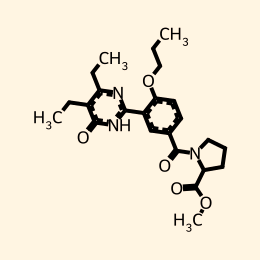 CCCOc1ccc(C(=O)N2CCCC2C(=O)OC)cc1-c1nc(CC)c(CC)c(=O)[nH]1